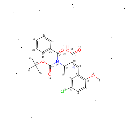 COc1ccc(Cl)cc1/C=C(/C(=O)O)C(C)N(C(=O)OC(C)(C)C)C(=O)c1ccccc1